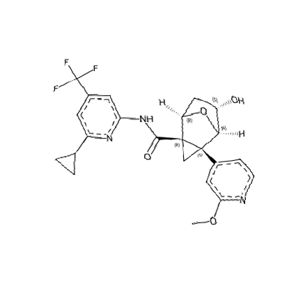 COc1cc([C@@]23C[C@]2(C(=O)Nc2cc(C(F)(F)F)cc(C4CC4)n2)[C@H]2C[C@H](O)[C@@H]3O2)ccn1